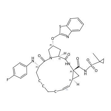 CC1(S(=O)(=O)NC(=O)[C@@]23C[C@H]2/C=C\CCCCC[C@H](Nc2ccc(F)cc2)C(=O)N2C[C@H](Oc4nc5ccccc5s4)C[C@H]2C(=O)N3)CC1